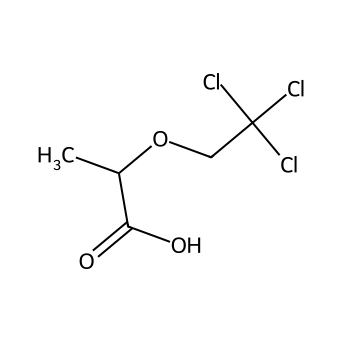 CC(OCC(Cl)(Cl)Cl)C(=O)O